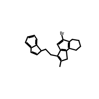 CC1=C(CCC2C=Cc3ccccc32)c2cc(Br)c3c(c2C1)CCCC3